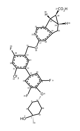 C[C@]1(O)CC[C@H](Oc2c(F)cc(-c3cc(COc4cc5c(cn4)[C@H]4[C@@H](C5)[C@@H]4C(=O)O)c(F)cc3C(F)(F)F)cc2F)CC1